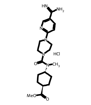 COC(=O)[C@H]1CC[C@H](N(C)C(=O)N2CCN(c3ccc(C(=N)N)cn3)CC2)CC1.Cl